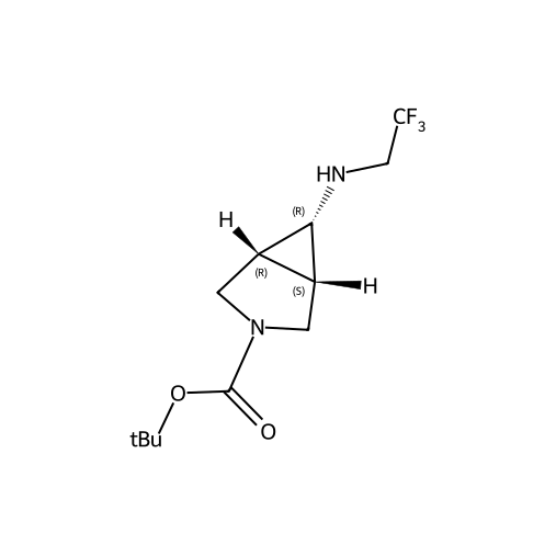 CC(C)(C)OC(=O)N1C[C@@H]2[C@H](C1)[C@@H]2NCC(F)(F)F